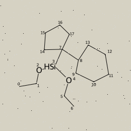 CCO[SiH](OCC)C1(C2CCCCC2)CCCC1